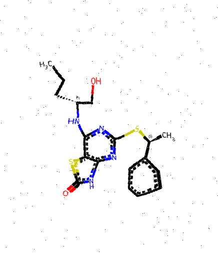 CCC[C@H](CO)Nc1nc(S[C@@H](C)c2ccccc2)nc2[nH]c(=O)sc12